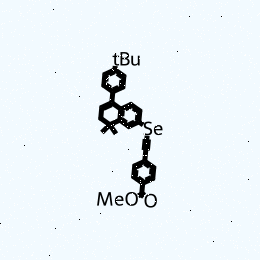 COC(=O)c1ccc(C#C[Se]c2ccc3c(c2)C(C)(C)CC=C3c2ccc(C(C)(C)C)cc2)cc1